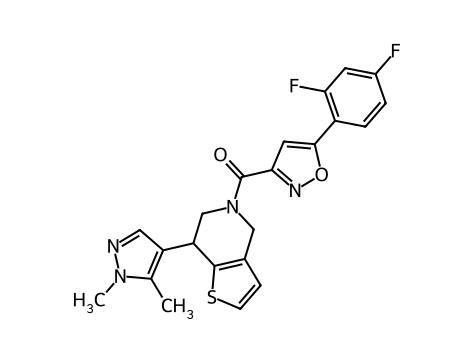 Cc1c(C2CN(C(=O)c3cc(-c4ccc(F)cc4F)on3)Cc3ccsc32)cnn1C